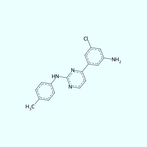 Cc1ccc(Nc2nccc(-c3cc(N)cc(Cl)c3)n2)cc1